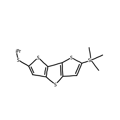 CC(C)Sc1cc2sc3cc([Si](C)(C)C)sc3c2s1